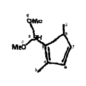 CO[SiH](OC)C1=C(C)C=CC1C